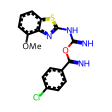 COc1cccc2sc(NC(=N)OC(=N)c3ccc(Cl)cc3)nc12